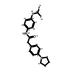 O=C(Cc1ccc(N2CCCC2)cc1)Nc1ccc(SC(F)F)cc1